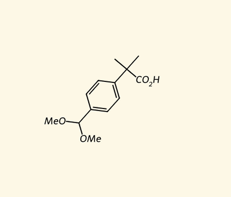 COC(OC)c1ccc(C(C)(C)C(=O)O)cc1